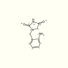 Nc1ccccc1CN1CC(=O)NC1=O